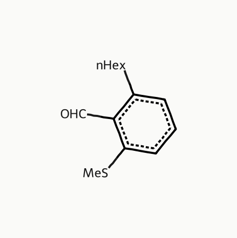 CCCCCCc1cccc(SC)c1C=O